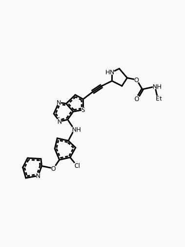 CCNC(=O)OC1CNC(C#Cc2cc3ncnc(Nc4ccc(Oc5ccccn5)c(Cl)c4)c3s2)C1